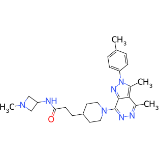 Cc1ccc(-n2nc3c(N4CCC(CCC(=O)NC5CN(C)C5)CC4)nnc(C)c3c2C)cc1